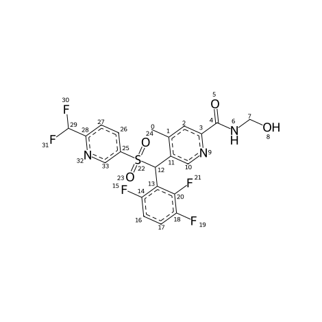 Cc1cc(C(=O)NCO)ncc1C(c1c(F)ccc(F)c1F)S(=O)(=O)c1ccc(C(F)F)nc1